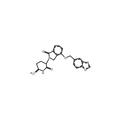 C=C1CCC(N2Cc3c(OCc4ccc5ocnc5c4)cccc3C2=O)C(=O)N1